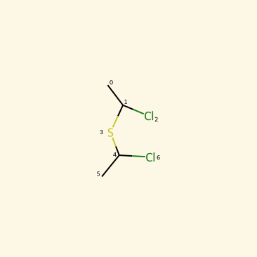 CC(Cl)SC(C)Cl